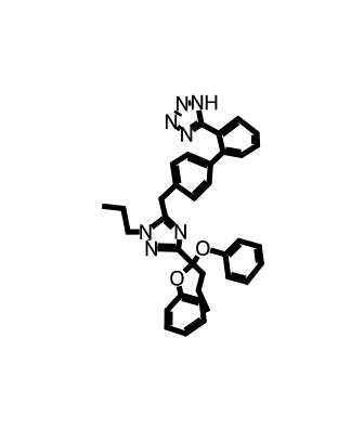 CCCn1nc(C(CCC)(Oc2ccccc2)Oc2ccccc2)nc1Cc1ccc(-c2ccccc2-c2nnn[nH]2)cc1